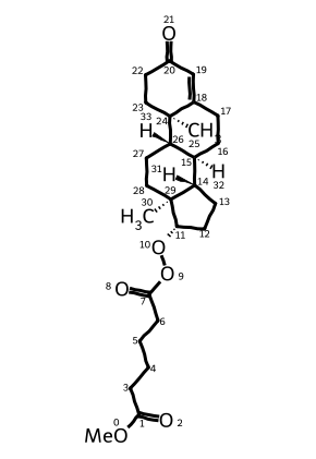 COC(=O)CCCCC(=O)OO[C@H]1CC[C@H]2[C@@H]3CCC4=CC(=O)CC[C@]4(C)[C@H]3CC[C@]12C